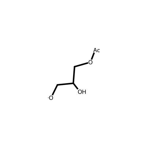 CC(=O)OCC(O)C[O]